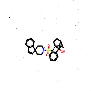 CC1(C)C2CC[C@@]1(CS(=O)(=O)N1CCC3(C=Cc4ccccc43)CC1)C(O)(c1ccccc1)C2